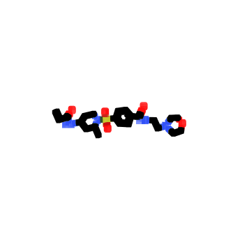 C=CC(=O)NC1CCN(S(=O)(=O)c2ccc(C(=O)NCCN3CCOCC3)cc2)C(C)C1